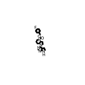 O=C(OCc1ccc(F)cc1)N1CCCC2C1CCN2c1ncnc2[nH]ccc12